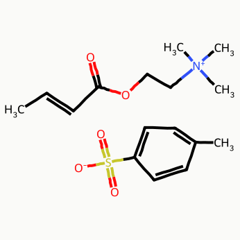 CC=CC(=O)OCC[N+](C)(C)C.Cc1ccc(S(=O)(=O)[O-])cc1